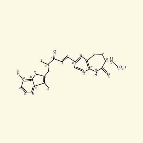 Cc1c(CN(C)C(=O)/C=C/c2cnc3c(c2)CC[C@H](NC(=O)O)C(=O)N3)sc2c(F)cccc12